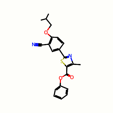 Cc1nc(-c2ccc(OCC(C)C)c(C#N)c2)sc1C(=O)Oc1ccccc1